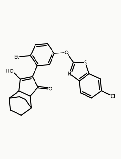 CCc1ccc(Oc2nc3ccc(Cl)cc3s2)cc1C1=C(O)C2C3CCC(CC3)C2C1=O